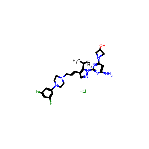 CC(C)c1c(/C=C/CN2CCN(c3cc(F)cc(F)c3)CC2)cnn1-c1nc(N)cc(N2CC(O)C2)n1.Cl